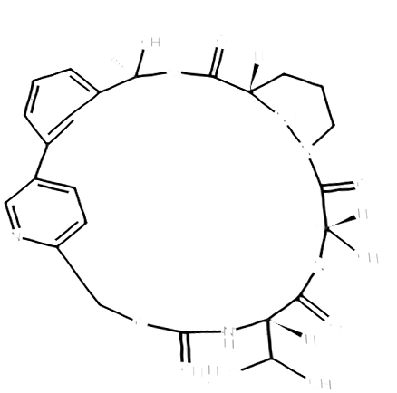 C=C1CCc2ccc(cn2)-c2cccc(c2)[C@@H](C)OC(=O)[C@@H]2CCCN(N2)C(=O)[C@H](C)NC(=O)[C@H](C(C)C)N1